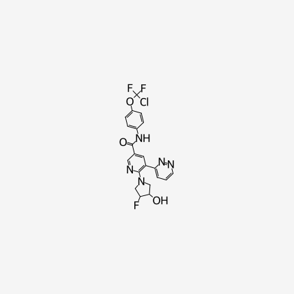 O=C(Nc1ccc(OC(F)(F)Cl)cc1)c1cnc(N2CC(O)C(F)C2)c(-c2cccnn2)c1